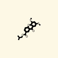 CSc1cc(SC)c2oc3ccc(C(=O)OCC(C)C)cc3c(=O)c2c1